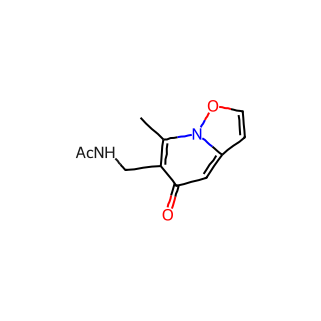 CC(=O)NCc1c(C)n2occc2cc1=O